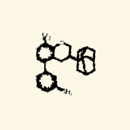 Nc1cccc(-c2ccc(C(F)(F)F)c3c2CC(C24CC5CC(CC(C5)C2)C4)CO3)c1